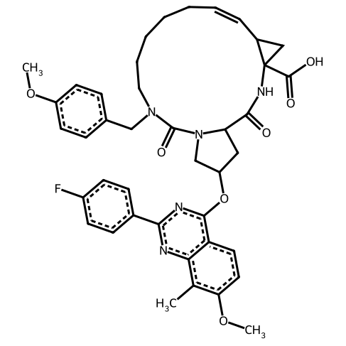 COc1ccc(CN2CCCCCC=CC3CC3(C(=O)O)NC(=O)C3CC(Oc4nc(-c5ccc(F)cc5)nc5c(C)c(OC)ccc45)CN3C2=O)cc1